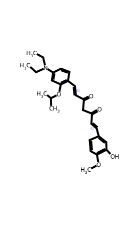 CCN(CC)c1ccc(/C=C/C(=O)CC(=O)/C=C/c2ccc(OC)c(O)c2)c(OC(C)C)c1